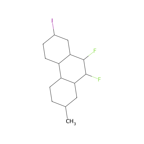 CC1CCC2C(C1)C(F)C(F)C1CC(I)CCC12